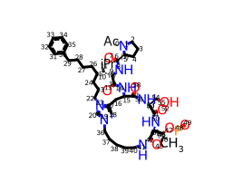 CC(=O)N1CCC[C@H]1C(=O)N[C@@H](CC(C)C)C(=O)NC1Cc2c[n+](cn2CCCCCCCCc2ccccc2)CCCCCNC(=O)[C@H]([C@@H](C)OP=O)NC(=O)[C@H](CO)NC1=O